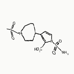 CS(=O)(=O)N1CCC(c2ccn(S(N)(=O)=O)c2C(=O)O)CC1